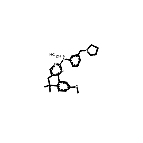 COc1ccc2c(c1)-c1nc(Nc3cccc(CN4CCCC4)c3)ncc1CC2(C)C.Cl.Cl